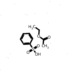 CCOC(C)=O.O=S(=O)(O)c1ccccc1